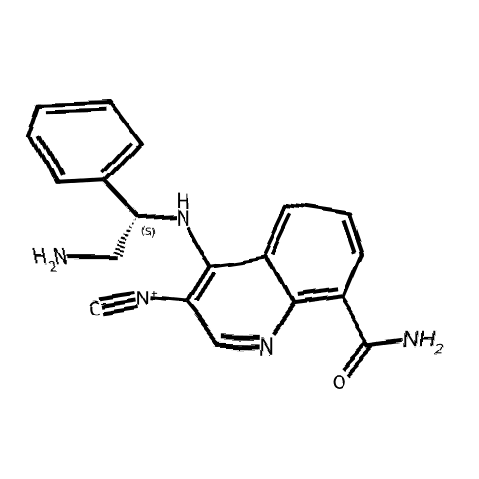 [C-]#[N+]c1cnc2c(C(N)=O)cccc2c1N[C@H](CN)c1ccccc1